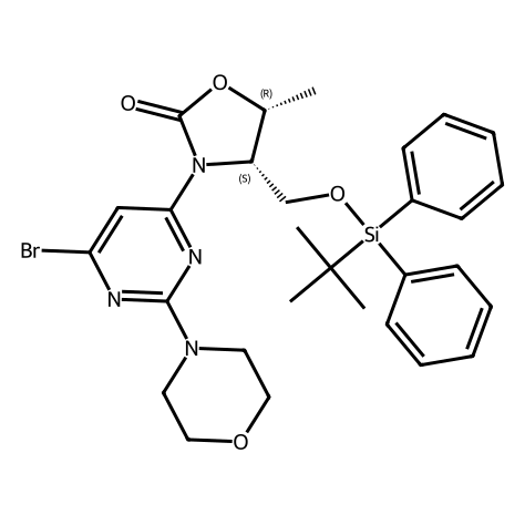 C[C@H]1OC(=O)N(c2cc(Br)nc(N3CCOCC3)n2)[C@H]1CO[Si](c1ccccc1)(c1ccccc1)C(C)(C)C